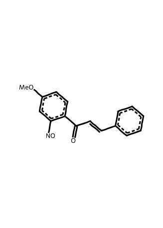 COc1ccc(C(=O)/C=C/c2ccccc2)c(N=O)c1